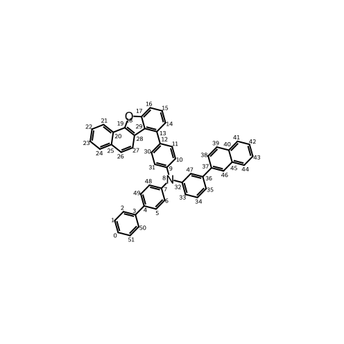 c1ccc(-c2ccc(N(c3ccc(-c4cccc5oc6c7ccccc7ccc6c45)cc3)c3cccc(-c4ccc5ccccc5c4)c3)cc2)cc1